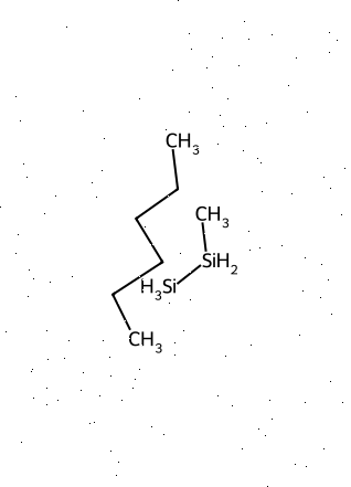 CCCCCC.C[SiH2][SiH3]